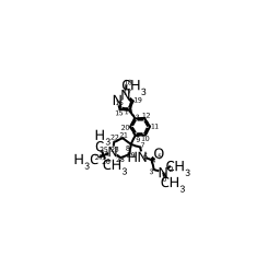 CN(C)CC(=O)NCC1(c2cccc(-c3cnn(C)c3)c2)CCN(C(C)(C)C)CC1